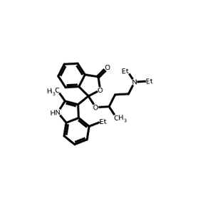 CCc1cccc2[nH]c(C)c(C3(OC(C)CCN(CC)CC)OC(=O)c4ccccc43)c12